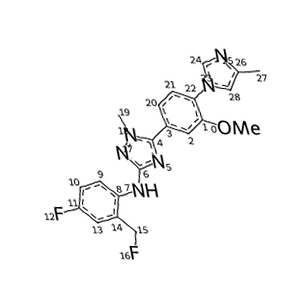 COc1cc(-c2nc(Nc3ccc(F)cc3CF)nn2C)ccc1-n1cnc(C)c1